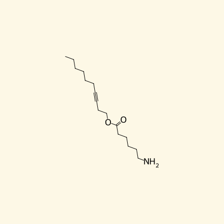 CCCCCCC#CCCOC(=O)CCCCCN